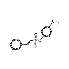 Cc1ccc(OS(=O)(=O)/C=C/c2ccccc2)cc1